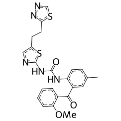 COc1ccccc1C(=O)c1cc(C)ccc1NC(=O)Nc1ncc(CCc2nncs2)s1